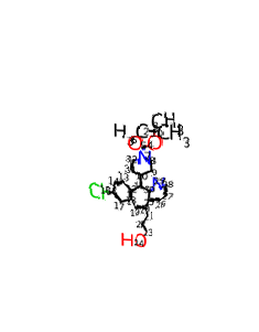 CC(C)(C)OC(=O)N1CCC(C2c3ccc(Cl)cc3C=C(CCCO)c3cccnc32)CC1